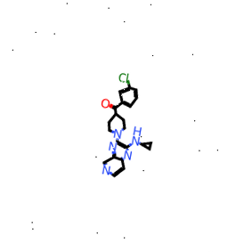 O=C(c1cccc(Cl)c1)C1CCN(c2nc3cnccc3nc2NC2CC2)CC1